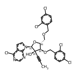 CC#C[C@@]1(O)[C@H](OCc2ccc(Cl)cc2Cl)[C@@H](COCc2ccc(Cl)cc2Cl)O[C@@H]1n1ccc2c(Cl)ncnc21